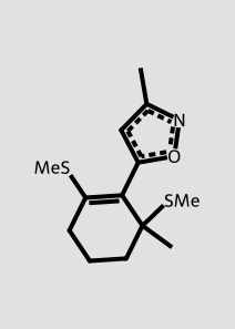 CSC1=C(c2cc(C)no2)C(C)(SC)CCC1